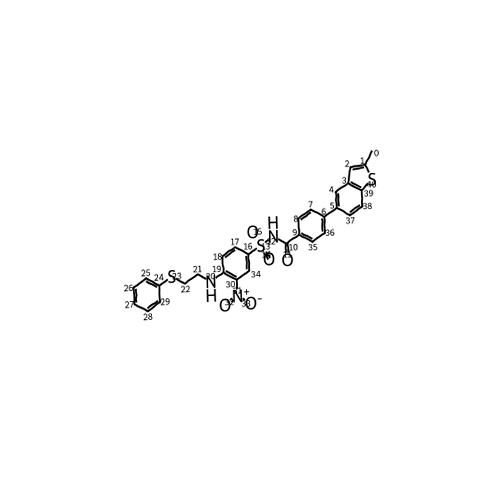 Cc1cc2cc(-c3ccc(C(=O)NS(=O)(=O)c4ccc(NCCSc5ccccc5)c([N+](=O)[O-])c4)cc3)ccc2s1